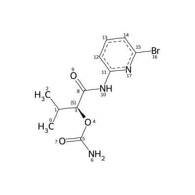 CC(C)[C@H](OC(N)=O)C(=O)Nc1cccc(Br)n1